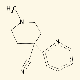 CN1CCC(C#N)(c2ccccn2)CC1